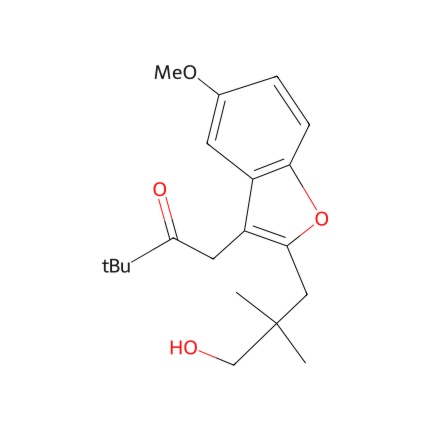 COc1ccc2oc(CC(C)(C)CO)c(CC(=O)C(C)(C)C)c2c1